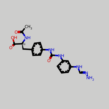 CC(=O)N[C@@H](Cc1ccc(NC(=O)Nc2cccc(NC=NN)c2)cc1)C(=O)O